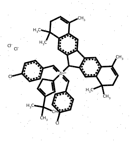 CC1=CCC(C)(C)c2cc3c(cc21)-c1cc2c(cc1[CH]3[Zr+2](=[CH]c1ccc(Cl)cc1)(=[CH]c1ccc(Cl)cc1)[C]1=CC(C(C)(C)C)=CC1)C(C)(C)CC=C2C.[Cl-].[Cl-]